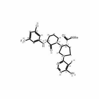 CNC(=O)[C@@H]1CCN(c2ncnc(N)c2F)C[C@H]1N1CCC[C@@H](Nc2cc(Cl)cc(C(F)(F)F)c2)C1=O